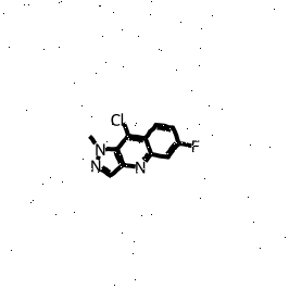 Cn1ncc2nc3cc(F)ccc3c(Cl)c21